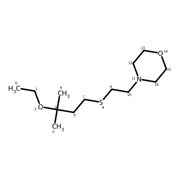 CCOC(C)(C)CCSCCN1CCOCC1